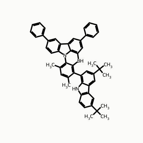 Cc1cc(C)c2c(c1-c1cc(C(C)(C)C)cc3c1[nH]c1ccc(C(C)(C)C)cc13)Bc1cc(-c3ccccc3)cc3c4cc(-c5ccccc5)ccc4n-2c13